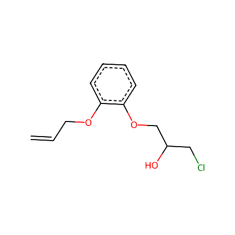 C=CCOc1ccccc1OCC(O)CCl